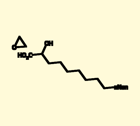 C1CO1.CCCCCCCCCCCCCCCCC(O)C(=O)O